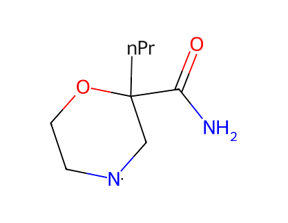 CCCC1(C(N)=O)C[N]CCO1